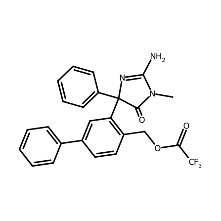 CN1C(=O)C(c2ccccc2)(c2cc(-c3ccccc3)ccc2COC(=O)C(F)(F)F)N=C1N